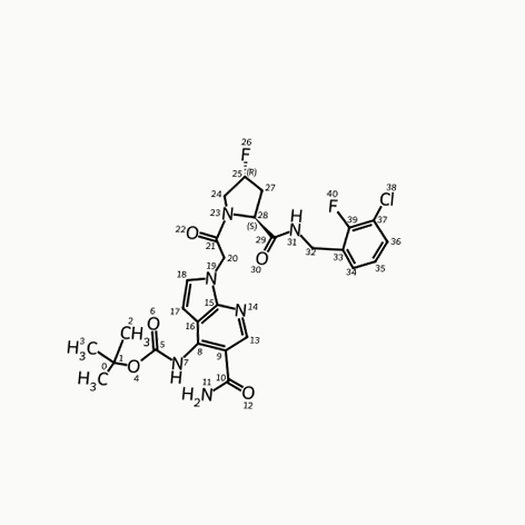 CC(C)(C)OC(=O)Nc1c(C(N)=O)cnc2c1ccn2CC(=O)N1C[C@H](F)C[C@H]1C(=O)NCc1cccc(Cl)c1F